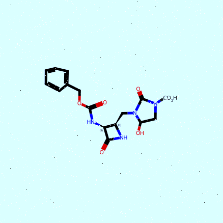 O=C(N[C@@H]1C(=O)N[C@@H]1CN1C(=O)N(C(=O)O)CC1O)OCc1ccccc1